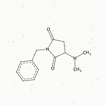 CN(C)C1CC(=O)N(Cc2ccccc2)C1=O